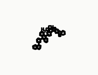 CC1(C)c2cc(-c3c4ccccc4c(-c4cccc(-c5cccc6ccccc56)c4)c4ccccc34)ccc2-c2c1ccc1cc3c4c(oc3cc21)CCC=C4